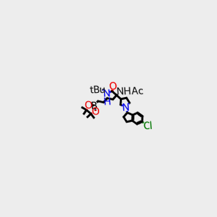 CC(=O)NC(CCCCB1OC(C)(C)C(C)(C)O1)(C(=O)NC(C)(C)C)C1CCN(C2CCc3cc(Cl)ccc32)C1